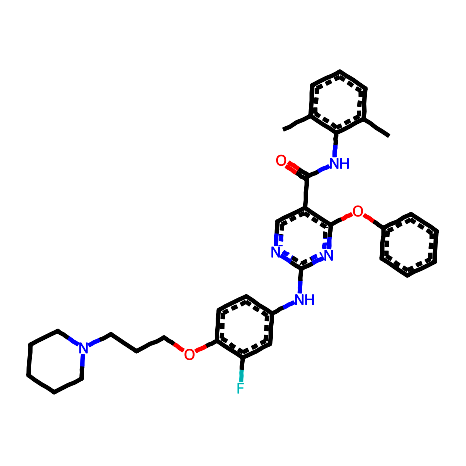 Cc1cccc(C)c1NC(=O)c1cnc(Nc2ccc(OCCCN3CCCCC3)c(F)c2)nc1Oc1ccccc1